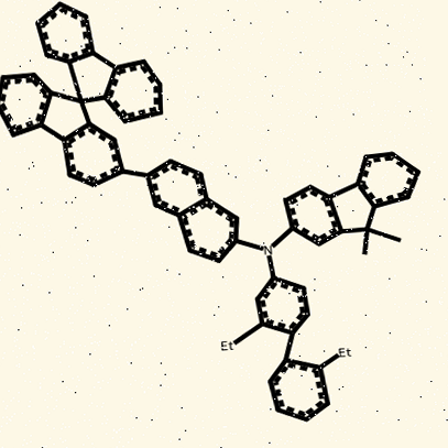 CCc1ccccc1-c1ccc(N(c2ccc3c(c2)C(C)(C)c2ccccc2-3)c2ccc3cc(-c4ccc5c(c4)C4(c6ccccc6-c6ccccc64)c4ccccc4-5)ccc3c2)cc1CC